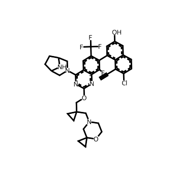 C#Cc1c(Cl)ccc2cc(O)cc(-c3c(C(F)(F)F)cc4c(N5CC6CCC(C5)N6)nc(OCC5(CN6CCOC7(CC7)C6)CC5)nc4c3F)c12